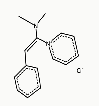 CN(C)C(=Cc1ccccc1)[n+]1ccccc1.[Cl-]